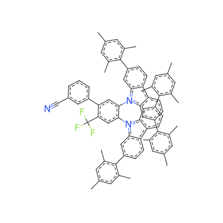 Cc1cc(C)c(-c2ccc3c4ccc(-c5c(C)cc(C)cc5C)cc4n(-c4cc(-c5cccc(C#N)c5)c(C(F)(F)F)cc4-n4c5cc(-c6c(C)cc(C)cc6C)ccc5c5ccc(-c6c(C)cc(C)cc6C)cc54)c3c2)c(C)c1